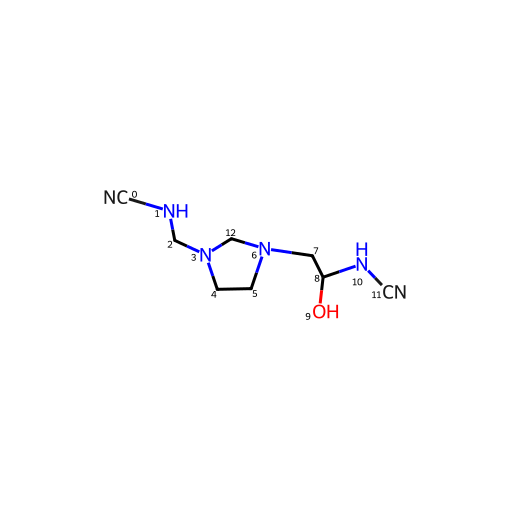 N#CNCN1CCN(CC(O)NC#N)C1